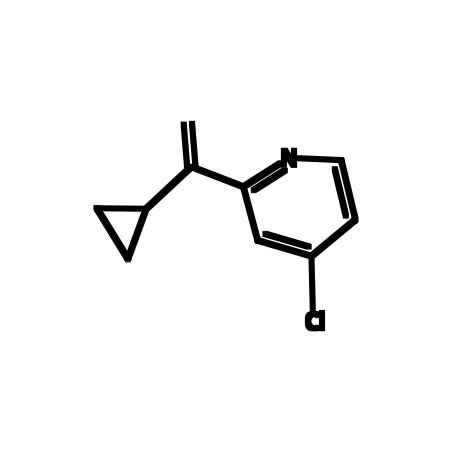 C=C(c1cc(Cl)ccn1)C1CC1